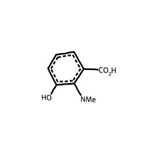 CNc1c(O)cccc1C(=O)O